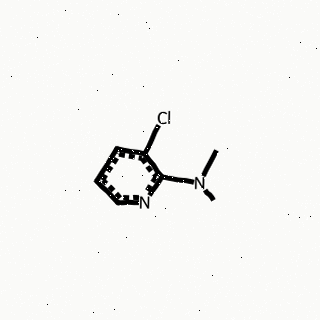 CN(C)c1ncccc1Cl